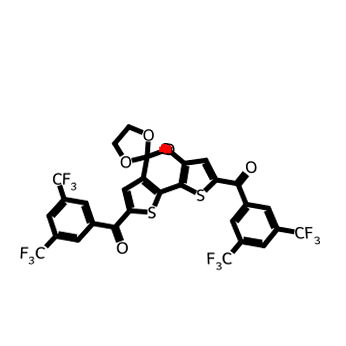 O=C(c1cc(C(F)(F)F)cc(C(F)(F)F)c1)c1cc2c(s1)-c1sc(C(=O)c3cc(C(F)(F)F)cc(C(F)(F)F)c3)cc1C1(OCCO1)C21OCCO1